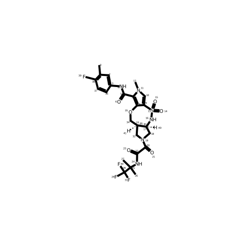 Cc1cc(NC(=O)c2c3c(cn2C)S(=O)(=O)N[C@H]2CN(C(=O)C(=O)NC(C)(C)C(F)(F)F)C[C@H]2CO3)ccc1F